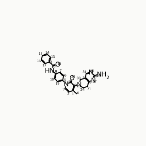 Cc1ccn(-c2ccc(NC(=O)c3ccccc3)cc2)c(=O)c1N1CCc2nc(N)ncc2C1